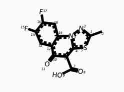 Cc1nn2c(s1)c(C(=O)O)c(=O)c1cc(F)c(F)cc12